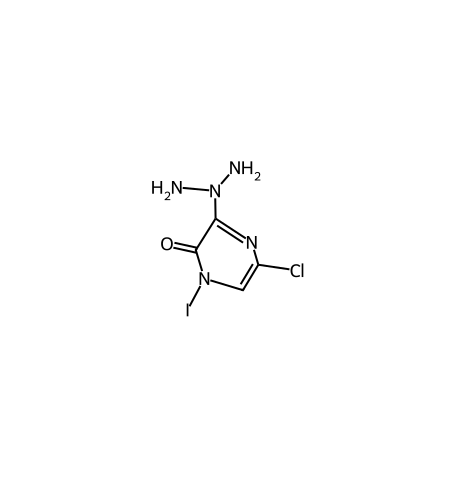 NN(N)c1nc(Cl)cn(I)c1=O